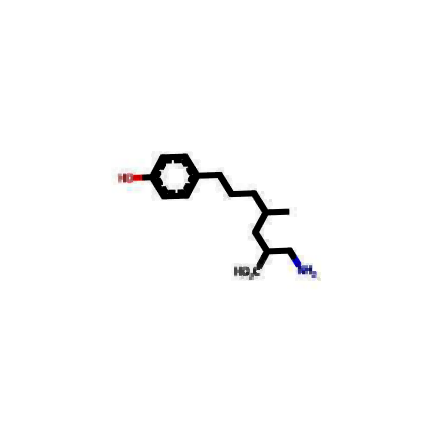 CC(CCCc1ccc(O)cc1)CC(CN)C(=O)O